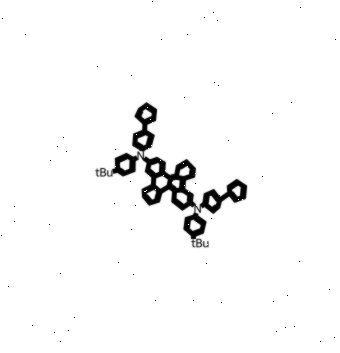 CC(C)(C)c1ccc(N(c2ccc(-c3ccccc3)cc2)c2ccc3c(c2)c2ccccc2c2c4ccc(N(c5ccc(-c6ccccc6)cc5)c5ccc(C(C)(C)C)cc5)cc4c4ccccc4c32)cc1